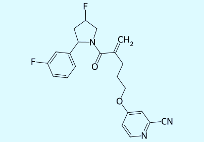 C=C(CCCOc1ccnc(C#N)c1)C(=O)N1CC(F)CC1c1cccc(F)c1